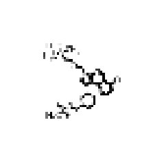 C[Si](C)(C)CCOCn1ccc2c1ncc1c(=O)ccn([C@H]3CC[C@H](COS(C)(=O)=O)CC3)c12